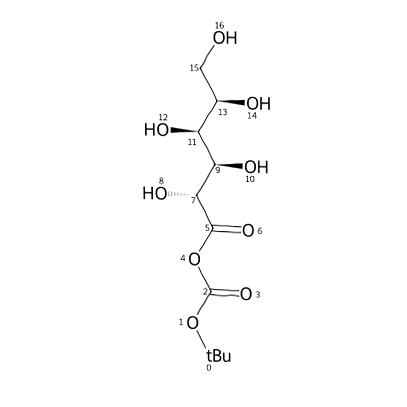 CC(C)(C)OC(=O)OC(=O)[C@H](O)[C@H](O)[C@@H](O)[C@H](O)CO